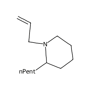 C=CCN1CCCCC1CCCCC